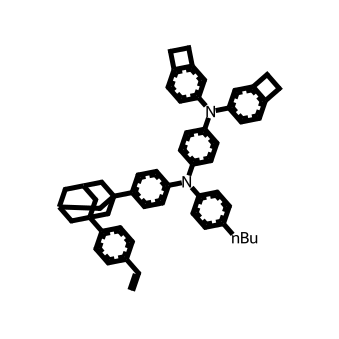 C=Cc1ccc(C23CC4CC(C2)CC(c2ccc(N(c5ccc(CCCC)cc5)c5ccc(N(c6ccc7c(c6)CC7)c6ccc7c(c6)CC7)cc5)cc2)(C4)C3)cc1